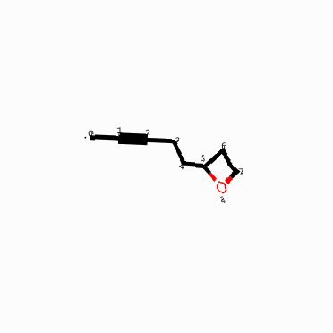 [CH2]C#CCCC1CCO1